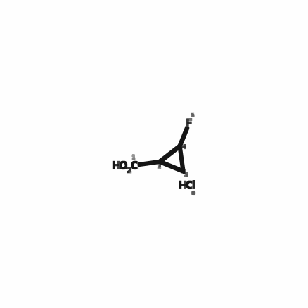 Cl.O=C(O)C1CC1F